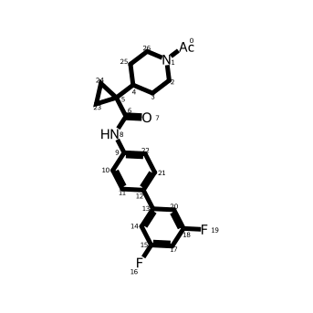 CC(=O)N1CCC(C2(C(=O)Nc3ccc(-c4cc(F)cc(F)c4)cc3)CC2)CC1